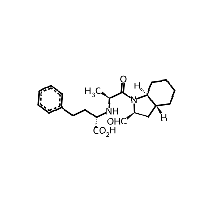 C[C@H](N[C@@H](CCc1ccccc1)C(=O)O)C(=O)N1[C@H](C=O)C[C@H]2CCCC[C@@H]21